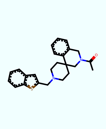 CC(=O)N1Cc2ccccc2C2(CCN(Cc3cc4ccccc4s3)CC2)C1